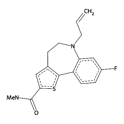 C=CCN1CCc2cc(C(=O)NC)sc2-c2ccc(F)cc21